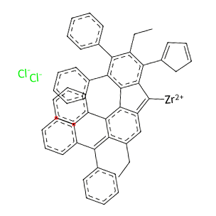 CCc1c(C2=CC=CC2)c2c(c(-c3ccccc3)c1-c1ccccc1)-c1c(-c3ccccc3)c(=C(c3ccccc3)c3ccccc3)c(CC)cc1=[C]2[Zr+2].[Cl-].[Cl-]